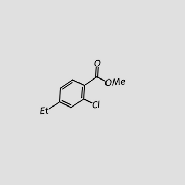 CCc1ccc(C(=O)OC)c(Cl)c1